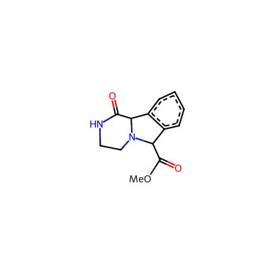 COC(=O)C1c2ccccc2C2C(=O)NCCN21